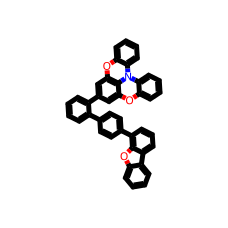 c1ccc2c(c1)Oc1cc(-c3ccccc3-c3ccc(-c4cccc5c4oc4ccccc45)cc3)cc3c1N2c1ccccc1O3